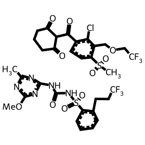 COc1nc(C)nc(NC(=O)NS(=O)(=O)c2ccccc2CCC(F)(F)F)n1.CS(=O)(=O)c1ccc(C(=O)C2C(=O)CCCC2=O)c(Cl)c1COCC(F)(F)F